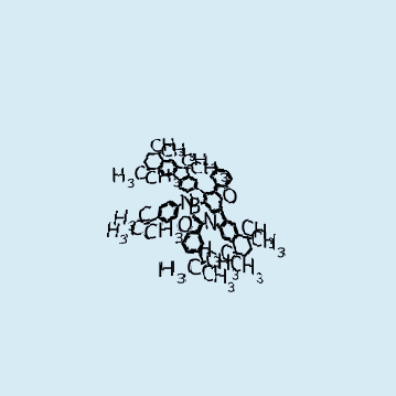 CC(C)(C)c1ccc(N2B3c4oc5ccc(C(C)(C)C)cc5c4-n4c5cc6c(cc5c5c7oc8ccccc8c7c(c3c54)-c3cc4c(cc32)-c2cc3c(cc2C4(C)C)C(C)(C)CCC3(C)C)C(C)(C)CCC6(C)C)cc1